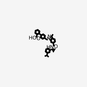 Cc1nn(Cc2ccc(-c3ccccc3C(=O)O)cc2)c2cc(C(=O)NC3(c4cccc(C(C)C)c4)CC3)ccc12